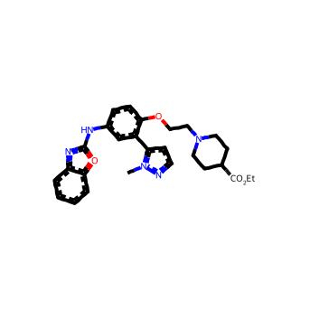 CCOC(=O)C1CCN(CCOc2ccc(Nc3nc4ccccc4o3)cc2-c2ccnn2C)CC1